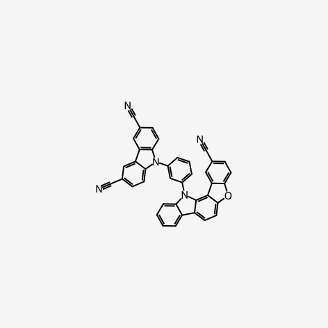 N#Cc1ccc2oc3ccc4c5ccccc5n(-c5cccc(-n6c7ccc(C#N)cc7c7cc(C#N)ccc76)c5)c4c3c2c1